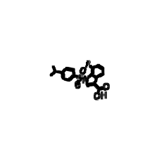 CC(C)c1ccc(S(=O)(=O)n2cc(C(=O)O)c3cccc(F)c32)cc1